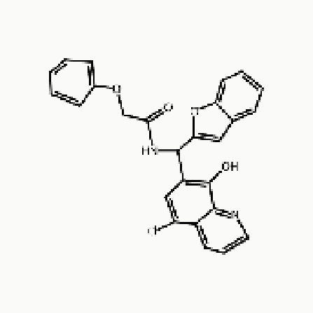 O=C(COc1ccccc1)NC(c1cc2ccccc2o1)c1cc(Cl)c2cccnc2c1O